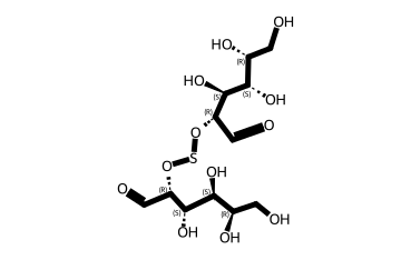 O=C[C@H](OSO[C@@H](C=O)[C@@H](O)[C@@H](O)[C@H](O)CO)[C@@H](O)[C@@H](O)[C@H](O)CO